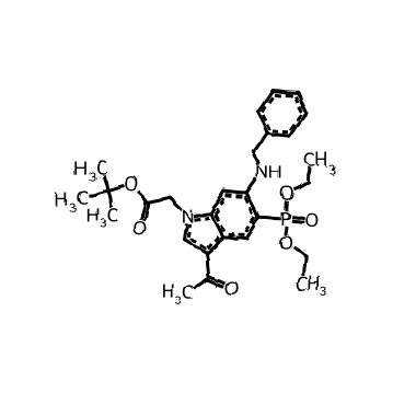 CCOP(=O)(OCC)c1cc2c(C(C)=O)cn(CC(=O)OC(C)(C)C)c2cc1NCc1ccccc1